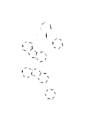 CC1C2C=CC=CC2=C(c2ccccc2)NC1c1cccc2oc3c(-n4c5ccccc5c5cc(-c6ccccc6)ccc54)cccc3c12